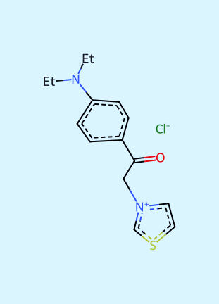 CCN(CC)c1ccc(C(=O)C[n+]2ccsc2)cc1.[Cl-]